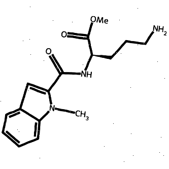 COC(=O)[C@@H](CCCN)NC(=O)c1cc2ccccc2n1C